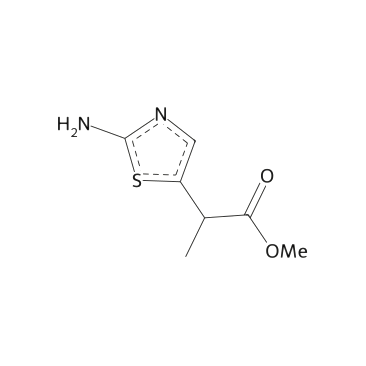 COC(=O)C(C)c1cnc(N)s1